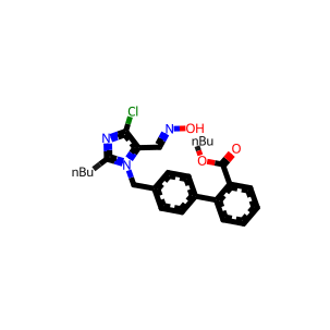 CCCCOC(=O)c1ccccc1-c1ccc(Cn2c(CCCC)nc(Cl)c2C=NO)cc1